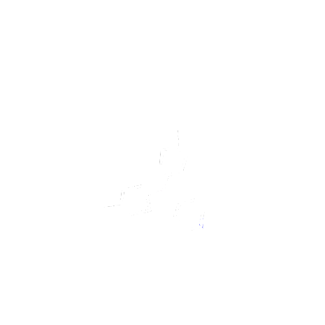 Cc1ccc(P(c2ccncc2)c2ccc(C)cc2)cc1